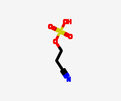 N#CCCOS(=O)(=O)O